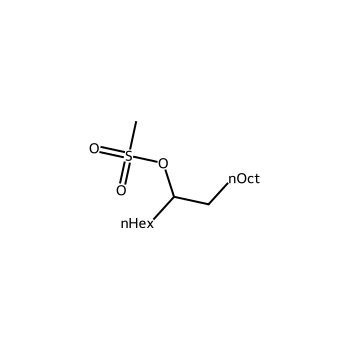 CCCCCCCCCC(CCCCCC)OS(C)(=O)=O